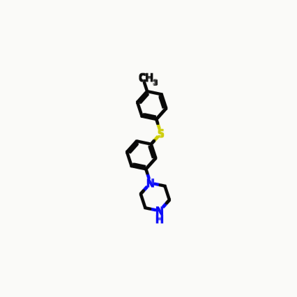 Cc1ccc(Sc2cccc(N3CCNCC3)c2)cc1